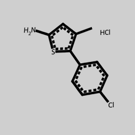 Cc1cc(N)sc1-c1ccc(Cl)cc1.Cl